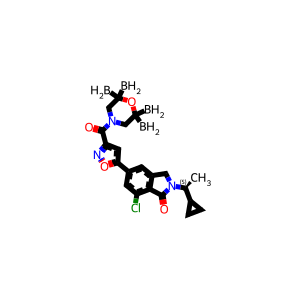 BC1(B)CN(C(=O)c2cc(-c3cc(Cl)c4c(c3)CN([C@@H](C)C3CC3)C4=O)on2)CC(B)(B)O1